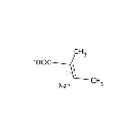 C/C=C(\C)C(=O)[O-].[Na+]